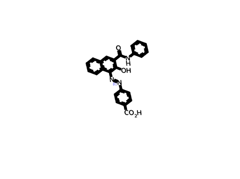 O=C(O)c1ccc(/N=N/c2c(O)c(C(=O)Nc3ccccc3)cc3ccccc23)cc1